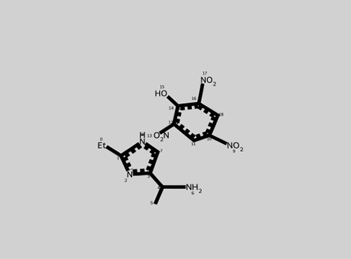 CCc1nc(C(C)N)c[nH]1.O=[N+]([O-])c1cc([N+](=O)[O-])c(O)c([N+](=O)[O-])c1